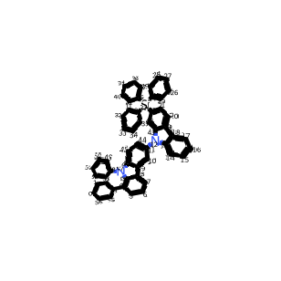 c1ccc(-c2cccc3c4cc(-n5c6ccccc6c6ccc([Si](c7ccccc7)(c7ccccc7)c7ccccc7)cc65)ccc4n(-c4ccccc4)c23)cc1